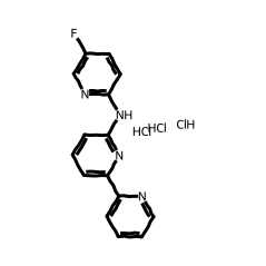 Cl.Cl.Cl.Fc1ccc(Nc2cccc(-c3ccccn3)n2)nc1